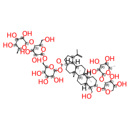 C=C(C)[C@@H]1CC[C@]2(C(=O)O[C@@H]3O[C@H](CO[C@@H]4O[C@H](CO)[C@@H](O[C@@H]5O[C@@H](C)[C@H](O)[C@@H](O)[C@H]5O)[C@H](O)[C@H]4O)[C@@H](O)[C@H](O)[C@H]3O)CC[C@]3(C)[C@H](CC[C@@H]4[C@@]5(C)CC[C@H](O[C@@H]6OC[C@H](O)[C@H](O)[C@H]6O[C@@H]6O[C@@H](C)[C@H](O)[C@@H](O)[C@H]6O)[C@@](C)(CO)[C@@H]5CC[C@]43C)[C@@H]12